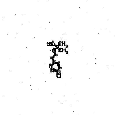 CC(C)(C)[Si](C)(C)OCCc1ccc(Cl)nn1